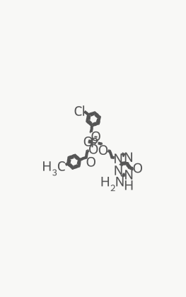 Cc1ccc(C(=O)COP(=O)(COCCn2cnc3c(=O)[nH]c(N)nc32)OCc2cccc(Cl)c2)cc1